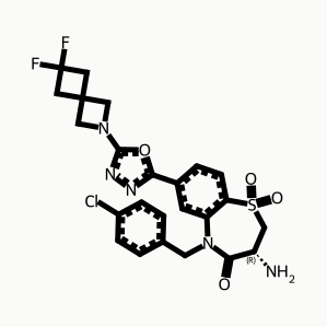 N[C@H]1CS(=O)(=O)c2ccc(-c3nnc(N4CC5(C4)CC(F)(F)C5)o3)cc2N(Cc2ccc(Cl)cc2)C1=O